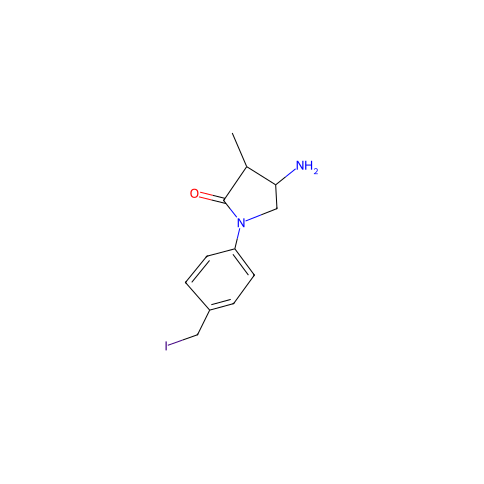 CC1C(=O)N(c2ccc(CI)cc2)CC1N